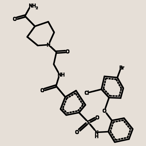 NC(=O)C1CCN(C(=O)CNC(=O)c2ccc(S(=O)(=O)Nc3ccccc3Oc3ccc(Br)cc3Cl)cc2)CC1